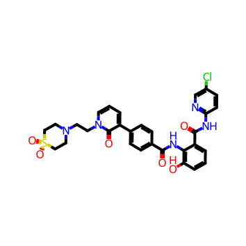 O=C(Nc1c(O)cccc1C(=O)Nc1ccc(Cl)cn1)c1ccc(-c2cccn(CCN3CCS(=O)(=O)CC3)c2=O)cc1